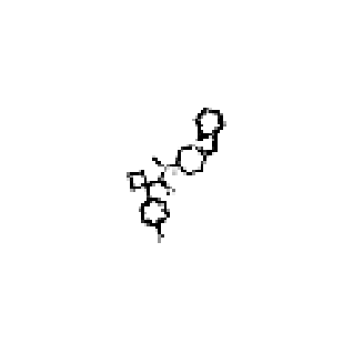 CN(C(=O)C1(c2ccc(F)cc2)CCC1)[C@@H]1CCc2[c]c3ccccc3n2C1